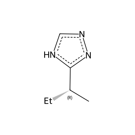 CC[C@@H](C)c1nnc[nH]1